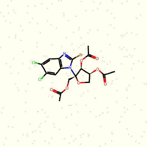 CC(=O)OC[C@]1(n2c(Br)nc3cc(Cl)c(Cl)cc32)OC[C@H](OC(C)=O)[C@@H]1OC(C)=O